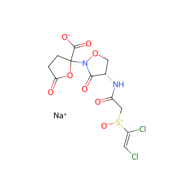 O=C(C[S+]([O-])/C(Cl)=C/Cl)N[C@H]1CON(C2(C(=O)[O-])CCC(=O)O2)C1=O.[Na+]